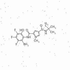 Bc1c(F)c(F)c(F)c(O)c1NC(=O)c1cc([S+]([O-])NC(C)(C)C)cn1C